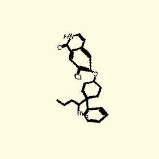 CCCC(N)C1(c2ccccc2)CCC(Oc2cc3cc[nH]c(=O)c3cc2Cl)CC1